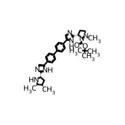 C[C@@H]1C[C@@H](c2ncc(-c3ccc(-c4ccc(-c5cnc([C@@H]6CCN(C)N6C(=O)OC(C)(C)C)[nH]5)cc4)cc3)[nH]2)N[C@@H]1C